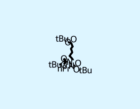 CCCN(C(=O)OC(C)(C)C)N(CCCCCC(=O)OC(C)(C)C)C(=O)OC(C)(C)C